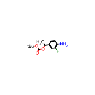 CC(OC(=O)OC(C)(C)C)c1ccc(N)c(F)c1